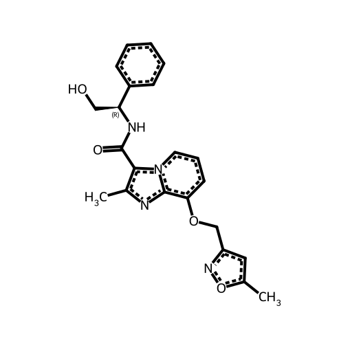 Cc1cc(COc2cccn3c(C(=O)N[C@@H](CO)c4ccccc4)c(C)nc23)no1